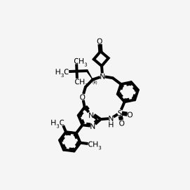 Cc1cccc(C)c1-c1cc2nc(n1)NS(=O)(=O)c1cccc(c1)CN(C1CC(=O)C1)[C@H](CC(C)(C)C)CO2